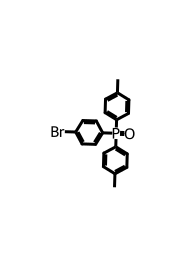 Cc1ccc(P(=O)(c2ccc(C)cc2)c2ccc(Br)cc2)cc1